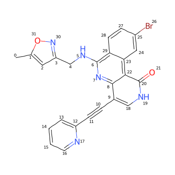 Cc1cc(CNc2nc3c(C#Cc4ccccn4)c[nH]c(=O)c3c3cc(Br)ccc23)no1